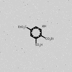 CCOC(=O)c1ccc(C(=O)OCC)c(S(=O)(=O)O)c1.[KH]